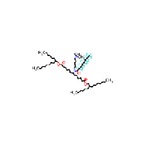 CCCCCCCCC(CCCCCC)COC(=O)CCCCCC(CCCCCC(=O)OCC(CCCCCC)CCCCCCCC)N(CCCCCN(C)C)C(=O)C(F)(F)C(F)(F)C(F)(F)C(F)(F)C(F)(F)C(F)(F)C(F)(F)F